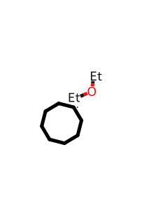 [CH2]COCC.[CH]1CCCCCCC1